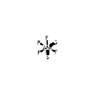 [F][Mo]([F])([F])([F])(=[S])=[S]